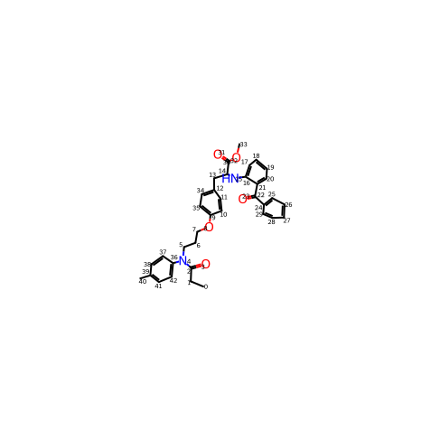 CCC(=O)N(CCCOc1ccc(CC(Nc2ccccc2C(=O)c2ccccc2)C(=O)OC)cc1)c1ccc(C)cc1